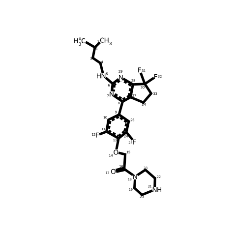 CC(C)CCNc1nc(-c2cc(F)c(OCC(=O)N3CCNCC3)c(F)c2)c2c(n1)C(F)(F)CC2